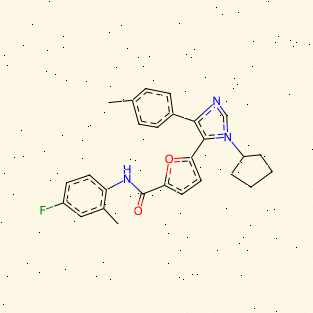 Cc1ccc(-c2ncn(C3CCCC3)c2-c2ccc(C(=O)Nc3ccc(F)cc3C)o2)cc1